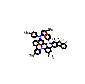 Cc1cc2c3c(c1)N(c1ccc(C(C)(C)C)cc1-c1ccccc1)c1ccc(N(c4ccc(C(C)(C)C)cc4)c4ccc(C(C)(C)C)cc4)cc1B3N(c1ccc(C(C)(C)C)cc1)c1cc3c(cc1-2)-c1ccccc1C3(C)C